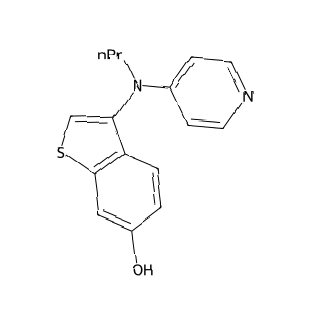 CCCN(c1ccncc1)c1csc2cc(O)ccc12